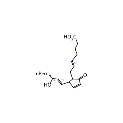 CCCCC[C@H](O)/C=C/C1C=CC(=O)C1C/C=C/CCCC(=O)O